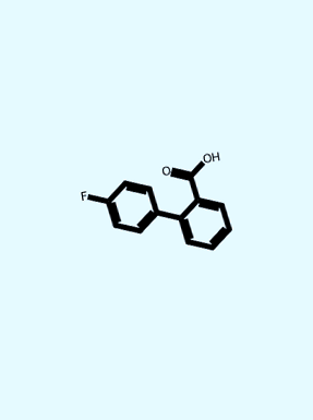 O=C(O)c1ccccc1-c1ccc(F)cc1